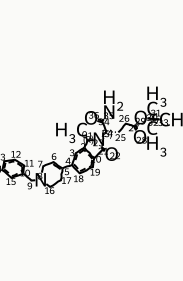 C[C@@H]1c2cc(C3=CCN(Cc4ccccc4)CC3)ccc2C(=O)N1[C@@H](CCC(=O)OC(C)(C)C)C(N)=O